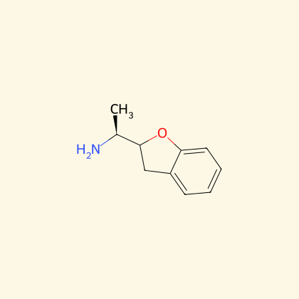 C[C@H](N)C1Cc2ccccc2O1